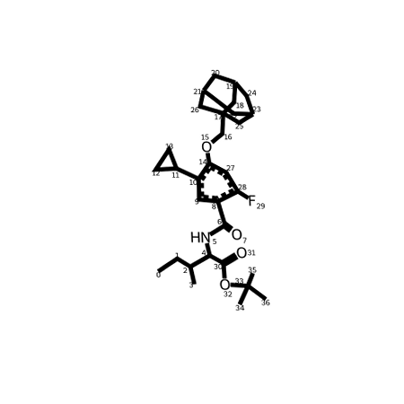 CCC(C)C(NC(=O)c1cc(C2CC2)c(OCC23CC4CC(CC(C4)C2)C3)cc1F)C(=O)OC(C)(C)C